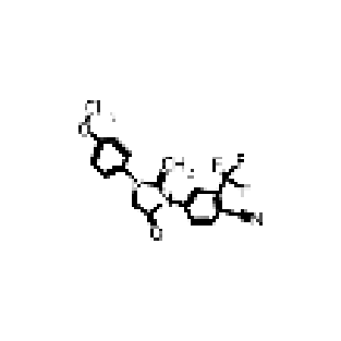 C=C1N(c2ccc(OC)cc2)CC(=O)N1c1ccc(C#N)c(C(F)(F)F)c1